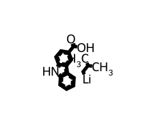 O=C(O)c1ccc2[nH]c3ccccc3c2c1.[Li][CH2]C(C)C